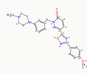 CN1CCN(c2cccc(Cn3nc(-c4nc(-c5ccc(OC(F)(F)F)cc5)no4)ccc3=O)c2)CC1